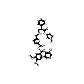 COc1ccc([C@@H](OC(=O)c2ccc(CNCC(C(=O)O[C@@H]3CCN(C)C3)c3ccccc3)s2)Oc2c(Cl)cncc2Cl)cc1OC